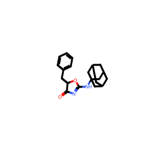 O=C1N=C(NC23CC4CC(CC(C4)C2)C3)OC1Cc1ccccc1